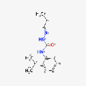 CC/C=N/NC(=O)Nc1ccccc1C(C)C